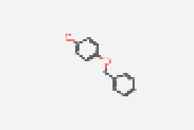 Oc1c[c]c(OCc2ccccc2)cc1